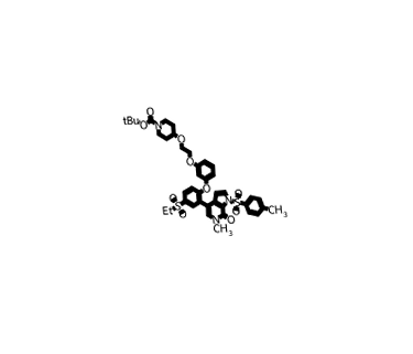 CCS(=O)(=O)c1ccc(Oc2cccc(OCCOC3CCN(C(=O)OC(C)(C)C)CC3)c2)c(-c2cn(C)c(=O)c3c2ccn3S(=O)(=O)c2ccc(C)cc2)c1